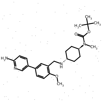 COc1ccc(-c2ccc(N)nc2)cc1CN[C@H]1CC[C@H](N(C)C(=O)OC(C)(C)C)CC1